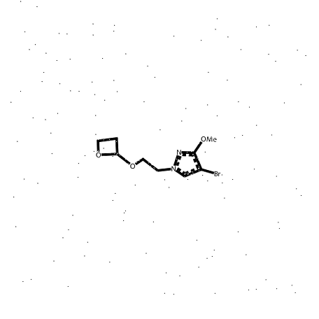 COc1nn(CCOC2CCO2)cc1Br